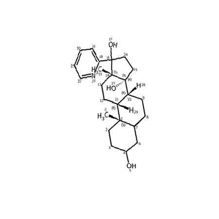 C[C@]12CCC(O)CC1CC[C@@H]1[C@H]2CC[C@]2(C)C(O)(c3ccccn3)CC[C@@]12O